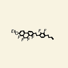 C=CCCc1ccc(CCc2ccc3c(c2F)C(F)C(F)c2c-3ccc(OCC)c2F)c(F)c1F